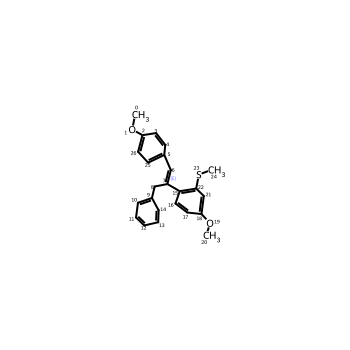 COc1ccc(/C=C(\Cc2ccccc2)c2ccc(OC)cc2SC)cc1